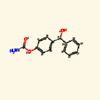 NC(=O)Oc1ccc(C(O)c2ccccc2)cc1